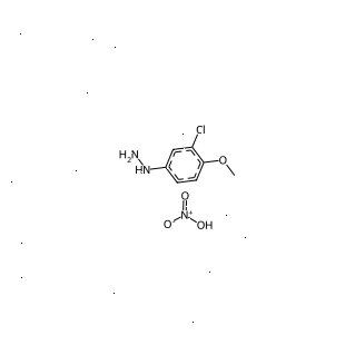 COc1ccc(NN)cc1Cl.O=[N+]([O-])O